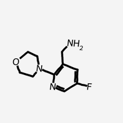 NCc1cc(F)cnc1N1CCOCC1